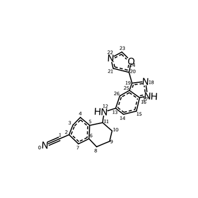 N#Cc1ccc2c(c1)CCCC2Nc1ccc2[nH]nc(-c3cnco3)c2c1